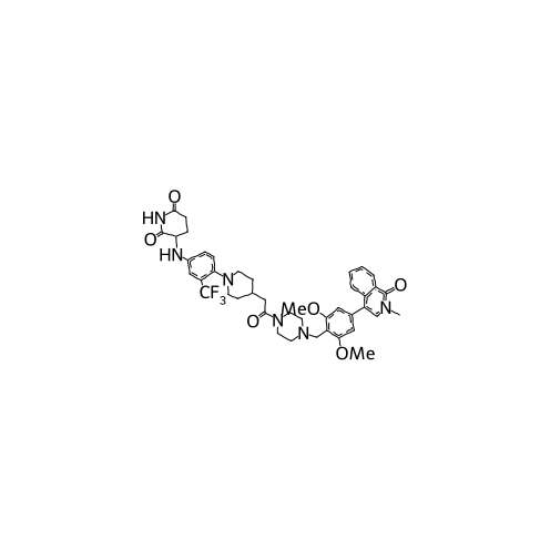 COc1cc(-c2cn(C)c(=O)c3ccccc23)cc(OC)c1CN1CCN(C(=O)CC2CCN(c3ccc(NC4CCC(=O)NC4=O)cc3C(F)(F)F)CC2)CC1